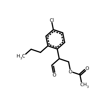 CCCc1cc(Cl)ccc1C(C=O)COC(C)=O